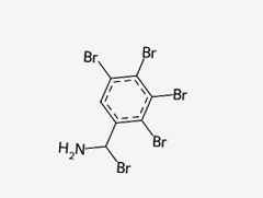 NC(Br)c1cc(Br)c(Br)c(Br)c1Br